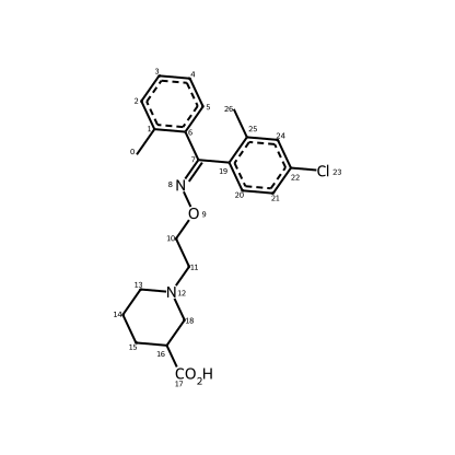 Cc1ccccc1C(=NOCCN1CCCC(C(=O)O)C1)c1ccc(Cl)cc1C